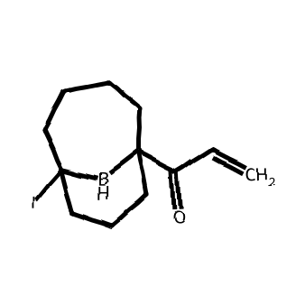 C=CC(=O)C12BC(I)(CCCC1)CCC2